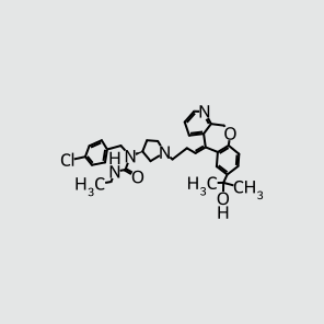 CCNC(=O)N(Cc1ccc(Cl)cc1)[C@H]1CCN(CC/C=C2/c3cc(C(C)(C)O)ccc3OCc3ncccc32)C1